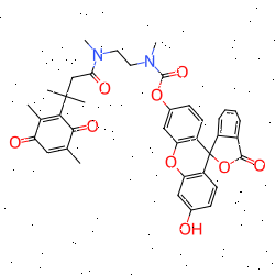 CC1=CC(=O)C(C)=C(C(C)(C)CC(=O)N(C)CCN(C)C(=O)Oc2ccc3c(c2)Oc2cc(O)ccc2C32OC(=O)c3ccccc32)C1=O